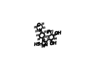 CC(C)c1cc(-c2nnc(S)n2-c2ccc(N3CCOCC3)cc2)c(O)cc1O